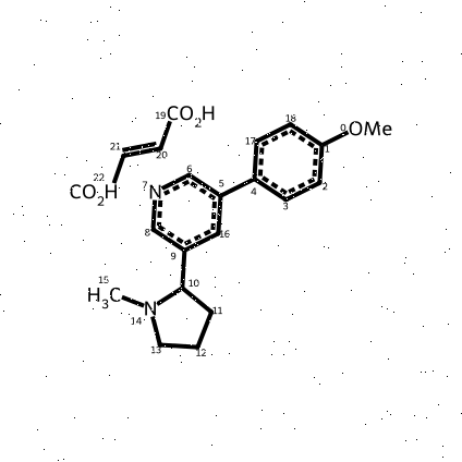 COc1ccc(-c2cncc(C3CCCN3C)c2)cc1.O=C(O)C=CC(=O)O